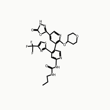 CCCNC(=O)Nc1cc(-c2nc(C(F)(F)F)cs2)c(-c2cc(-c3n[nH]c(=O)o3)cnc2OC2CCOCC2)cn1